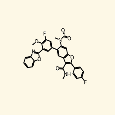 CNC(=O)c1c(-c2ccc(F)cc2)oc2cc(N(C)I(=O)=O)c(-c3cc(F)c(OC)c(-c4nc5ccccc5o4)c3)cc12